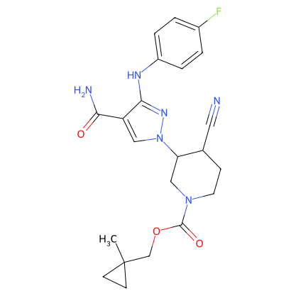 CC1(COC(=O)N2CCC(C#N)C(n3cc(C(N)=O)c(Nc4ccc(F)cc4)n3)C2)CC1